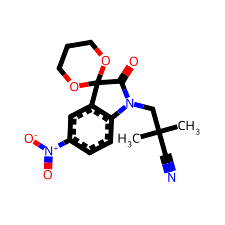 CC(C)(C#N)CN1C(=O)C2(OCCCO2)c2cc([N+](=O)[O-])ccc21